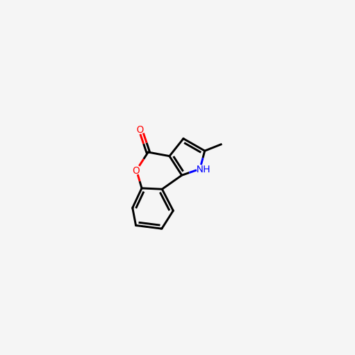 Cc1cc2c(=O)oc3ccccc3c2[nH]1